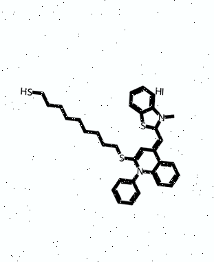 CN1c2ccccc2SC1C=C1C=C(SCCCCCCCCCS)N(c2ccccc2)c2ccccc21.I